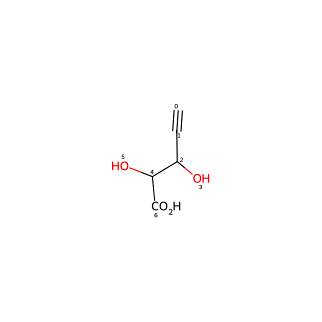 C#CC(O)C(O)C(=O)O